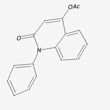 CC(=O)Oc1cc(=O)n(-c2ccccc2)c2ccccc12